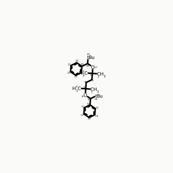 CC(C)(CCC(C)(C)OC(c1ccccc1)C(C)(C)C)OC(c1ccccc1)C(C)(C)C